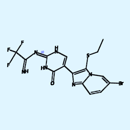 CCSc1c(-c2c[nH]/c(=N/C(=N)C(F)(F)F)[nH]c2=O)nc2ccc(Br)cn12